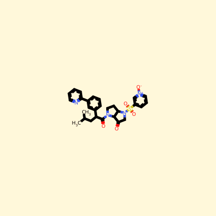 CC(C)CC(C(=O)N1CCC2C1C(=O)CN2S(=O)(=O)c1ccc[n+]([O-])c1)c1cccc(-c2ccccn2)c1